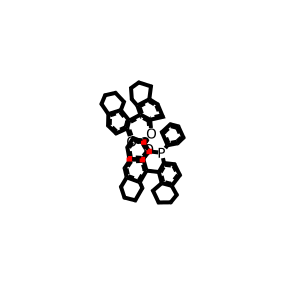 c1ccc(P(c2ccccc2)c2ccc3c(c2-c2c(Op4oc5ccc6c(c5c5c7c(ccc5o4)CCCC7)CCCC6)ccc4c2CCCC4)CCCC3)cc1